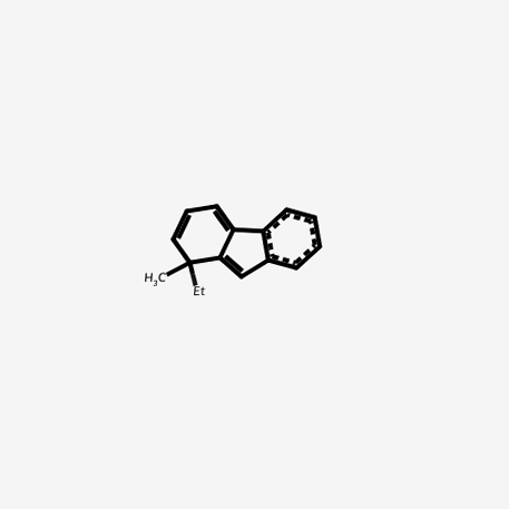 CCC1(C)C=CC=C2C1=Cc1ccccc12